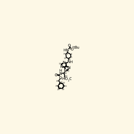 CC(C)(C)OC(=O)NC1CCC(Nc2ncnc3c2ncn3C(CC(=O)O)NC(=O)OCc2ccccc2)CC1